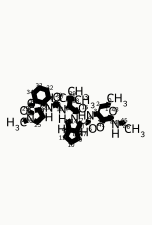 CCC[C@H](NC(=O)[C@@H]1[C@H]2CCC[C@H]2CN1C(=O)[C@@H](NC(=O)NC1([C@@H]2CCN(C)S2(=O)=O)CCCCC1)C(C)(C)C)C(=O)C(=O)NCC